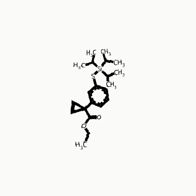 CCOC(=O)C1(c2cccc(S[Si](C(C)C)(C(C)C)C(C)C)c2)CC1